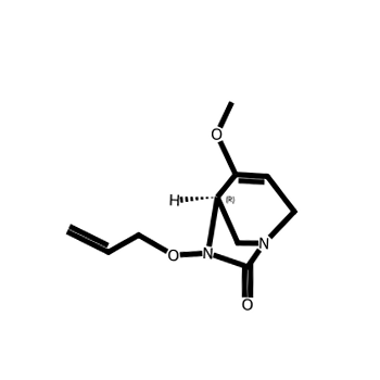 C=CCON1C(=O)N2CC=C(OC)[C@H]1C2